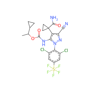 CC(OC(=O)Nc1c(C2(C(N)=O)CC2)c(C#N)nn1-c1c(Cl)cc(S(F)(F)(F)(F)F)cc1Cl)C1CC1